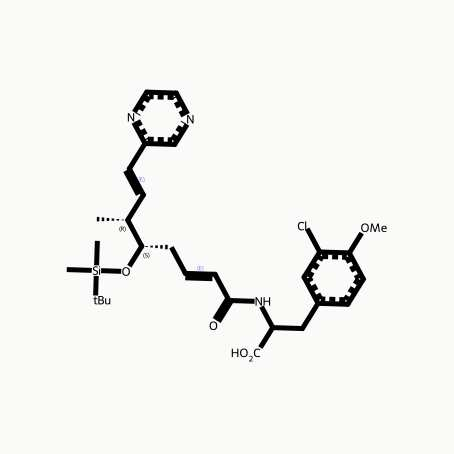 COc1ccc(CC(NC(=O)/C=C/C[C@H](O[Si](C)(C)C(C)(C)C)[C@H](C)/C=C/c2cnccn2)C(=O)O)cc1Cl